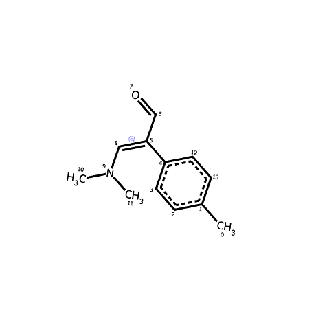 Cc1ccc(/C(C=O)=C\N(C)C)cc1